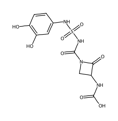 O=C(O)NC1CN(C(=O)NS(=O)(=O)Nc2ccc(O)c(O)c2)C1=O